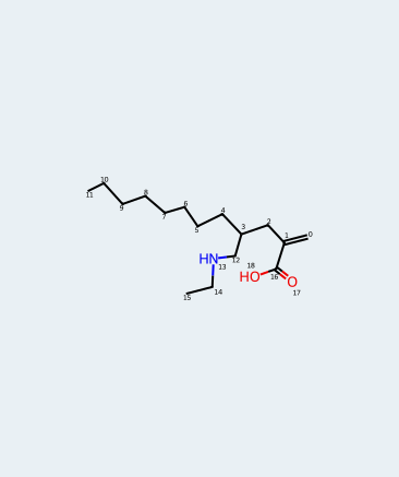 C=C(CC(CCCCCCCC)CNCC)C(=O)O